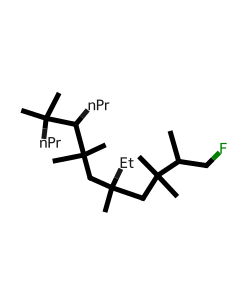 CCCC(C(C)(C)CCC)C(C)(C)CC(C)(CC)CC(C)(C)C(C)CF